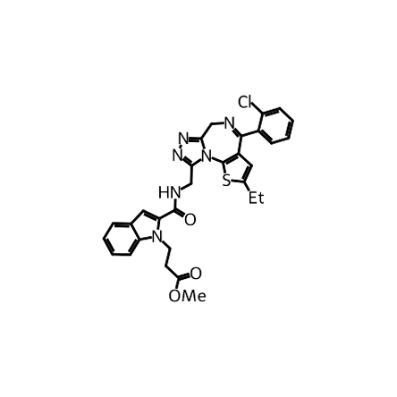 CCc1cc2c(s1)-n1c(nnc1CNC(=O)c1cc3ccccc3n1CCC(=O)OC)CN=C2c1ccccc1Cl